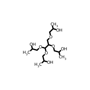 CC(O)COCC(OCC(C)O)C(OCC(C)O)OCC(C)O